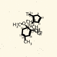 COC1([Si](C)(C)C2=[C]([Ti+2])CC=C2)CC=C(C)C=C1C.[Cl-].[Cl-]